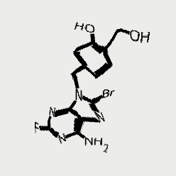 Nc1nc(F)nc2c1nc(Br)n2Cc1ccc(CO)c(O)c1